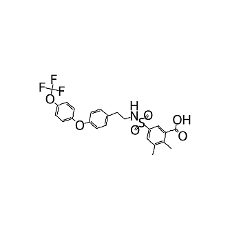 Cc1cc(S(=O)(=O)NCCc2ccc(Oc3ccc(OC(F)(F)F)cc3)cc2)cc(C(=O)O)c1C